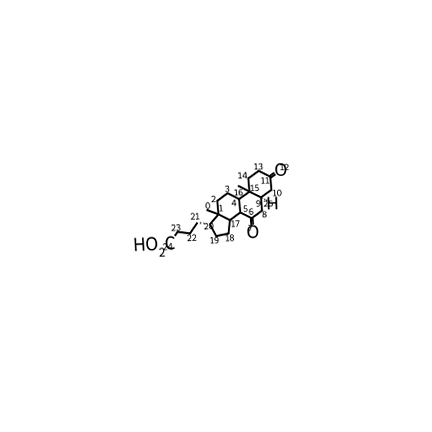 CC12CCC3C(C(=O)C[C@@H]4CC(=O)CCC34C)C1CC[C@@H]2CCCC(=O)O